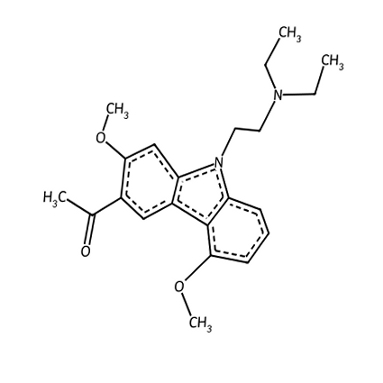 CCN(CC)CCn1c2cc(OC)c(C(C)=O)cc2c2c(OC)cccc21